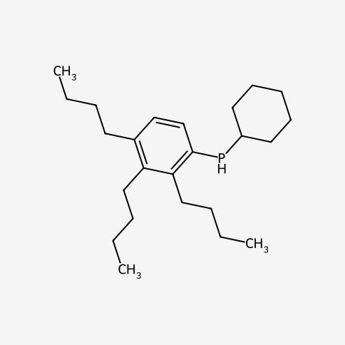 CCCCc1ccc(PC2CCCCC2)c(CCCC)c1CCCC